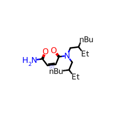 CCCCC(CC)CN(CC(CC)CCCC)C(=O)/C=C\C(N)=O